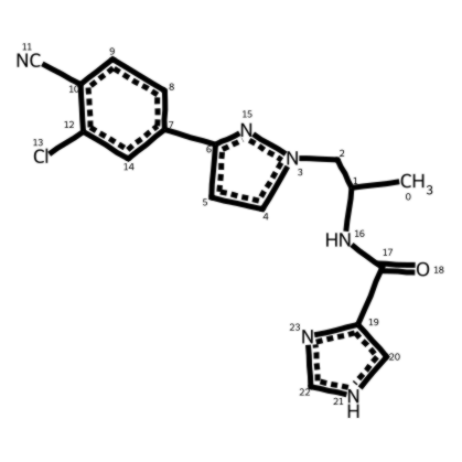 CC(Cn1ccc(-c2ccc(C#N)c(Cl)c2)n1)NC(=O)c1c[nH]cn1